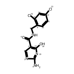 Nc1ncc(C(=O)NCc2ccc(Cl)cc2Cl)c(O)n1